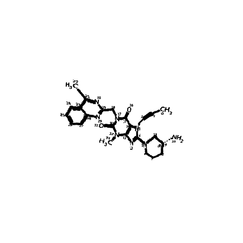 CC#Cn1c(N2CCC[C@@H](N)C2)nc2c1c(=O)n(Cc1nc(C)c3ccccc3n1)c(=O)n2C